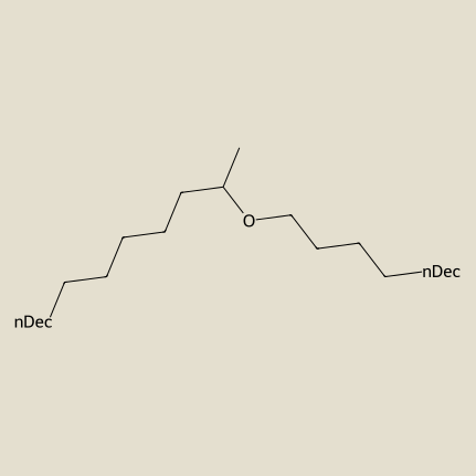 CCCCCCCCCCCCCCCC(C)OCCCCCCCCCCCCCC